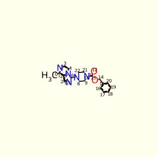 Cc1nccn2c(N3CCN(C(=O)OCc4ccccc4)CC3)ncc12